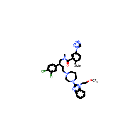 COc1ccc(-n2cnnn2)cc1C(=O)N(C)CC(CCN1CCCN(c2nc3ccccc3n2CCOC(F)(F)F)CC1)c1ccc(Cl)c(Cl)c1